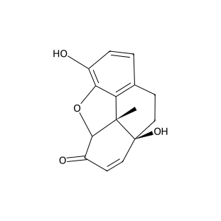 C[C@]12c3c4ccc(O)c3OC1C(=O)C=C[C@@]2(O)CC4